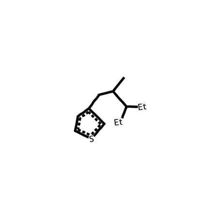 CCC(CC)C(C)Cc1ccsc1